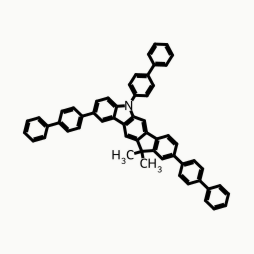 CC1(C)c2cc(-c3ccc(-c4ccccc4)cc3)ccc2-c2cc3c(cc21)c1cc(-c2ccc(-c4ccccc4)cc2)ccc1n3-c1ccc(-c2ccccc2)cc1